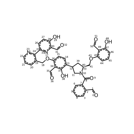 O=Cc1ccccc1C(=O)N1CC(c2ccc(OCc3cccnc3-c3ccc(O)c(C=O)n3)c(C=O)c2O)C[C@H]1COc1cccc(O)c1C=O